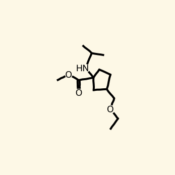 CCOCC1CCC(NC(C)C)(C(=O)OC)C1